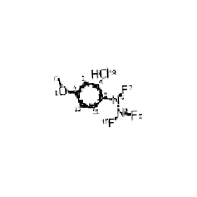 COc1ccc(N(F)N(F)F)cc1.Cl